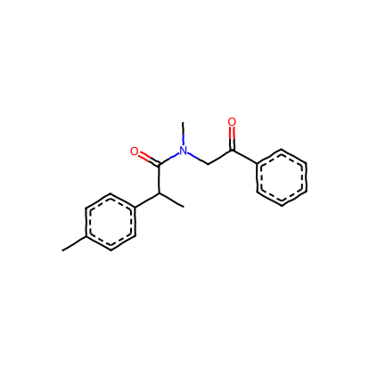 Cc1ccc(C(C)C(=O)N(C)CC(=O)c2ccccc2)cc1